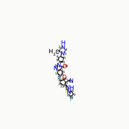 CC1CNCCN1c1ccc(-n2cnc3ccc(Oc4c(F)ccc(NSN5CCC(F)C5)c4C#N)cc3c2=O)cc1